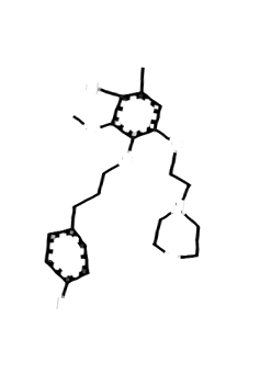 COc1c(Cl)c(C)[c]c(OCCN2CCOCC2)c1OCCCc1ccc(F)cc1